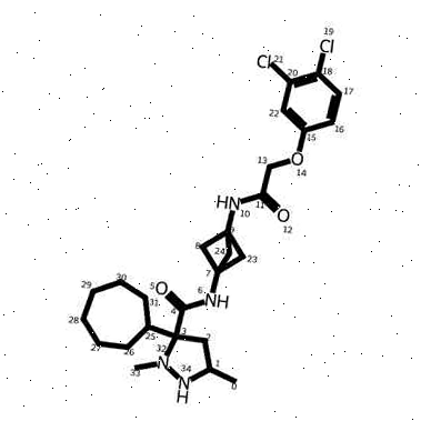 CC1CC(C(=O)NC23CC(NC(=O)COc4ccc(Cl)c(Cl)c4)(C2)C3)(C2CCCCCC2)N(C)N1